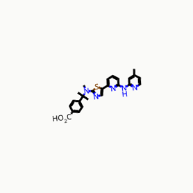 Cc1ccnc(Nc2cccc(-c3cnc(N(C)C(C)(C)c4ccc(C(=O)O)cc4)s3)n2)c1